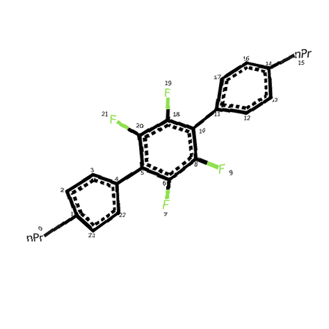 CCCc1ccc(-c2c(F)c(F)c(-c3ccc(CCC)cc3)c(F)c2F)cc1